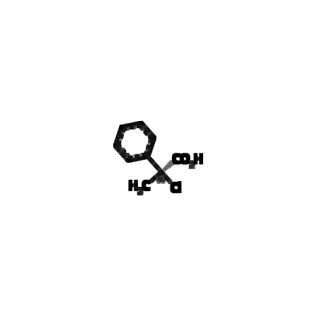 C[C@@](Cl)(C(=O)O)c1ccccc1